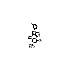 C[C@H]1CN(C(=O)OC(C)(C)C)CCN1c1ncnc2c1c(N1CCC1)cn2-c1cccc(F)c1